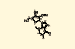 CO[C@@H]1[C@H](O)[C@@H](CO)O[C@H]1n1cnc2c1N(C)CN(C)C2=O